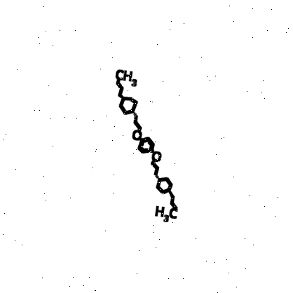 CCCC[C@H]1CC[C@H](CCCOc2ccc(OCCC[C@H]3CC[C@H](CCCC)CC3)cc2)CC1